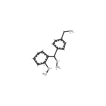 [CH2]Cc1ccc(C(OC)c2ccccc2OC)cc1